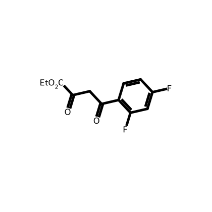 CCOC(=O)C(=O)CC(=O)c1ccc(F)cc1F